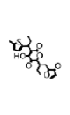 CCC(C1=C(O)C(=O)C(C(CC)CC2OC=CC2=O)OC1=O)c1ccc(C)s1